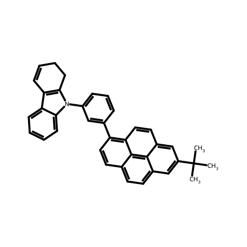 CC(C)(C)c1cc2ccc3ccc(-c4cccc(-n5c6c(c7ccccc75)C=CCC6)c4)c4ccc(c1)c2c34